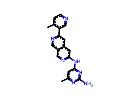 Cc1cc(Nc2cc3cc(-c4cnccc4C)ncc3cn2)nc(N)n1